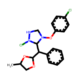 CC1COC(C(c2ccccc2)C2N(Cl)NCN2Oc2ccc(Cl)cc2)O1